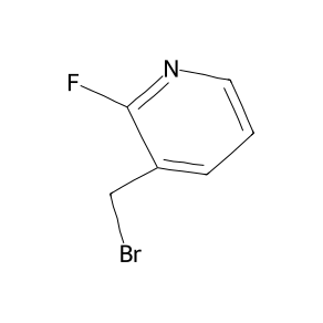 Fc1ncccc1CBr